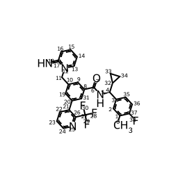 Cc1cc([C@@H](NC(=O)c2cc(Cn3ccccc3=N)cc(-c3cccnc3C(F)(F)F)c2)C2CC2)ccc1F